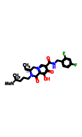 C/C=C1\Cn2cc(C(=O)NCc3ccc(F)cc3F)c(=O)c(O)c2C(=O)N1CCC[C@H](C)NC